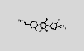 CC/C=C/C1CCC2c3cc(F)c(-c4ccc(C(F)(F)F)c(F)c4)c(F)c3CCC2C1